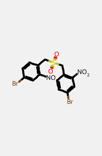 O=[N+]([O-])c1cc(Br)ccc1CS(=O)(=O)Cc1ccc(Br)cc1[N+](=O)[O-]